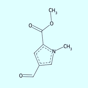 COC(=O)c1cc(C=O)cn1C